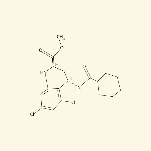 COC(=O)[C@H]1C[C@H](NC(=O)C2CCCCC2)c2c(Cl)cc(Cl)cc2N1